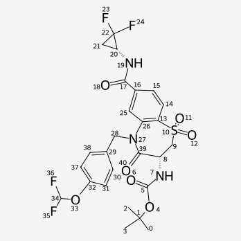 CC(C)(C)OC(=O)N[C@H]1CS(=O)(=O)c2ccc(C(=O)N[C@@H]3CC3(F)F)cc2N(Cc2ccc(OC(F)F)cc2)C1=O